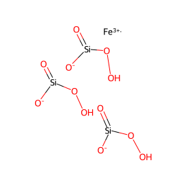 O=[Si]([O-])OO.O=[Si]([O-])OO.O=[Si]([O-])OO.[Fe+3]